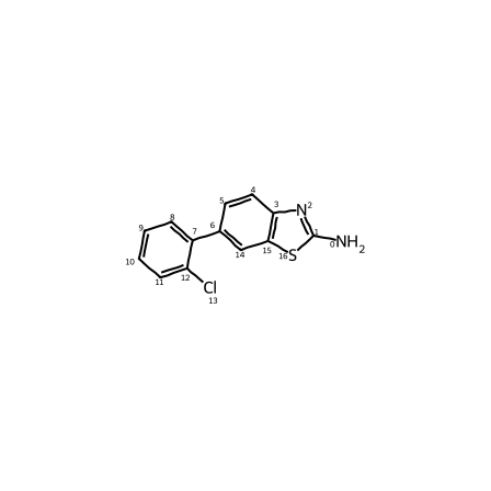 Nc1nc2ccc(-c3ccccc3Cl)cc2s1